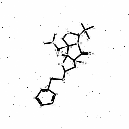 CN(C)C(=O)[C@@]12CO[C@@H](C(C)(C)C)N1C(=O)[C@@H]1CC(OCc3ccccc3)O[C@@]12C